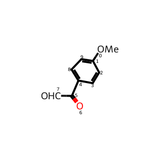 COc1ccc(C(=O)C=O)cc1